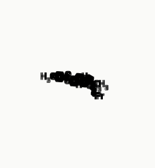 CC(C)CCC[C@@H](C)C1CC[C@@H]2[C@@H]3CC=C4C[C@@H](OC(=O)N5CCN(C)CC5)CC[C@]4(C)[C@@H]3CC[C@]12C